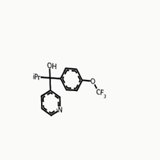 CC(C)C(O)(c1ccc(OC(F)(F)F)cc1)c1cccnc1